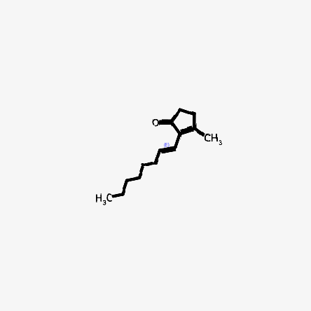 CCCCCC/C=C/C1=C(C)CCC1=O